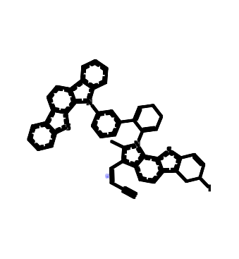 C#C/C=C\c1c(C)n(C2=CCCC=C2c2cccc(-n3c4ccccc4c4ccc5c6ccccc6sc5c43)c2)c2c1ccc1c3c(sc12)C=CC(I)C3